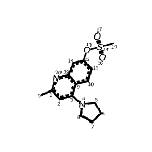 Cc1cc(N2CCCC2)c2ccc(OS(C)(=O)=O)cc2n1